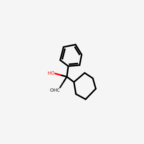 O=[C]C(O)(c1ccccc1)C1CCCCC1